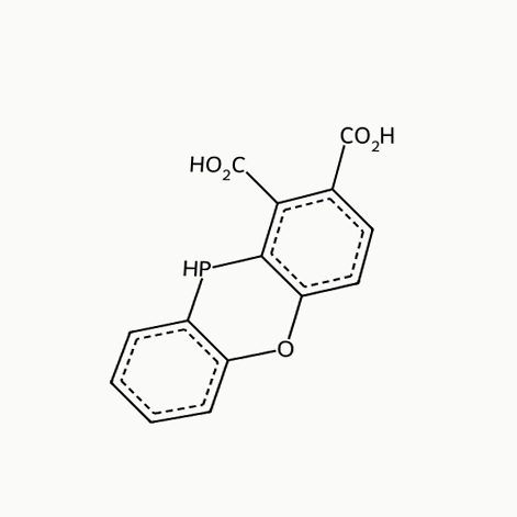 O=C(O)c1ccc2c(c1C(=O)O)Pc1ccccc1O2